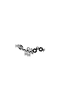 O=C(NCCN1CCNCC1)Nc1nc2ccc(Oc3ccc(F)cc3)cc2s1